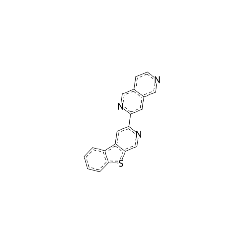 c1ccc2c(c1)sc1cnc(-c3cc4cnccc4cn3)cc12